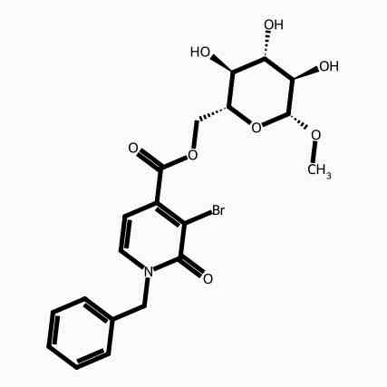 CO[C@@H]1O[C@H](COC(=O)c2ccn(Cc3ccccc3)c(=O)c2Br)[C@@H](O)[C@H](O)[C@H]1O